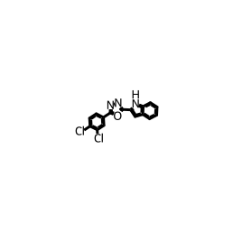 Clc1ccc(-c2nnc(-c3cc4ccccc4[nH]3)o2)cc1Cl